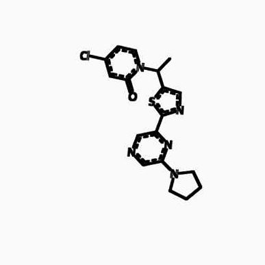 CC(c1cnc(-c2cncc(N3CCCC3)n2)s1)n1ccc(Cl)cc1=O